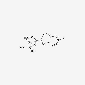 C=C[C@@H](O[Si](C)(C)C(C)(C)C)C1CCc2cc(F)ccc2O1